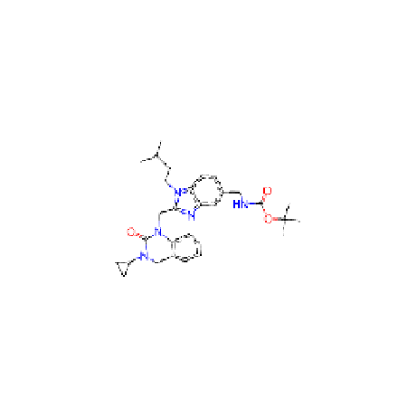 CC(C)CCn1c(CN2C(=O)N(C3CC3)Cc3ccccc32)nc2cc(CNC(=O)OC(C)(C)C)ccc21